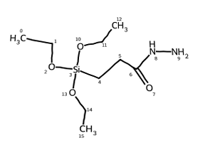 CCO[Si](CCC(=O)NN)(OCC)OCC